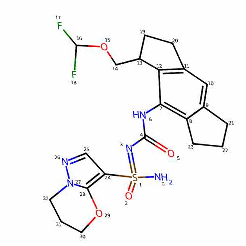 NS(=O)(=NC(=O)Nc1c2c(cc3c1C(COC(F)F)CC3)CCC2)c1cnn2c1OCCC2